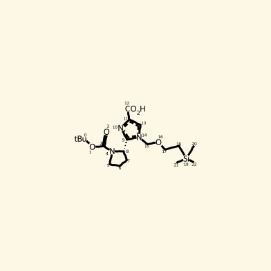 CC(C)(C)OC(=O)N1CCC[C@H]1c1nc(C(=O)O)cn1COCC[Si](C)(C)C